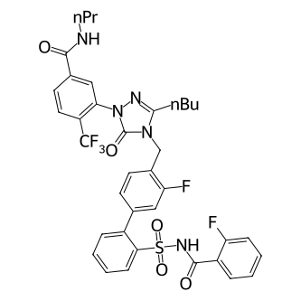 CCCCc1nn(-c2cc(C(=O)NCCC)ccc2C(F)(F)F)c(=O)n1Cc1ccc(-c2ccccc2S(=O)(=O)NC(=O)c2ccccc2F)cc1F